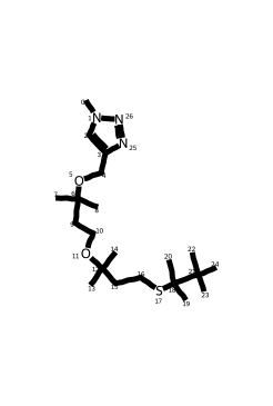 Cn1cc(COC(C)(C)CCOC(C)(C)CCSC(C)(C)C(C)(C)C)nn1